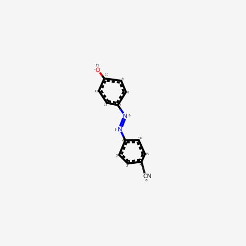 N#Cc1ccc(N=Nc2ccc([O])cc2)cc1